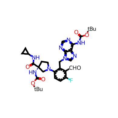 CC(C)(C)OC(=O)Nc1ncnc2c1ncn2Cc1c(N2CC[C@](NC(=O)OC(C)(C)C)(C(=O)NC3CC3)C2)ccc(F)c1C=O